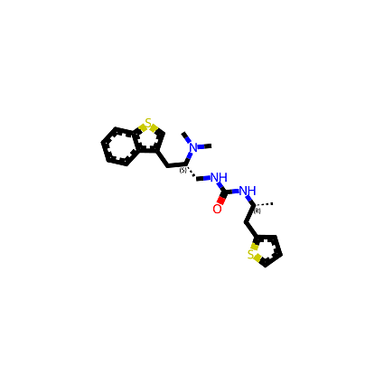 C[C@H](Cc1cccs1)NC(=O)NC[C@H](Cc1csc2ccccc12)N(C)C